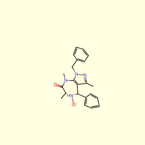 Cc1nn(Cc2ccccc2)c2c1C(c1ccccc1)[NH+]([O-])C(C)C(=O)N2C